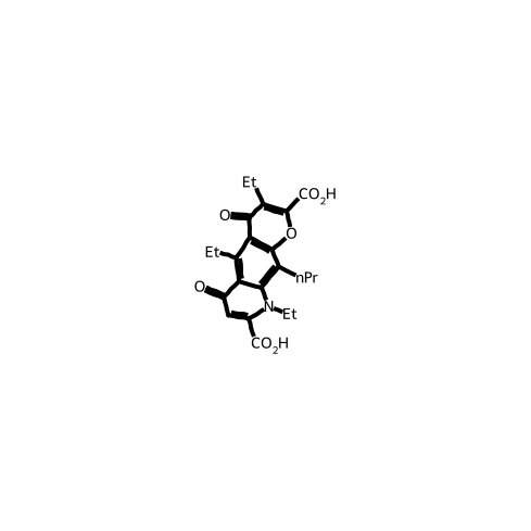 CCCc1c2oc(C(=O)O)c(CC)c(=O)c2c(CC)c2c(=O)cc(C(=O)O)n(CC)c12